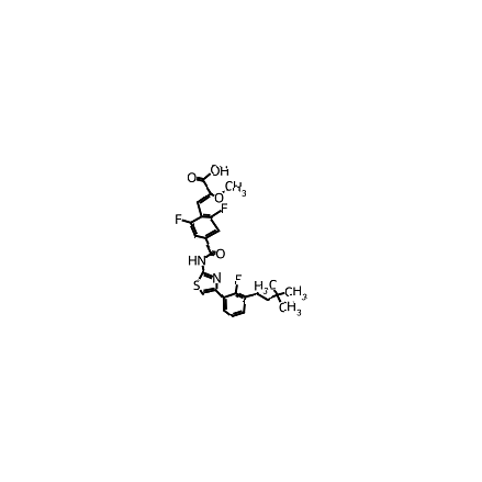 COC(=Cc1c(F)cc(C(=O)Nc2nc(-c3cccc(CCC(C)(C)C)c3F)cs2)cc1F)C(=O)O